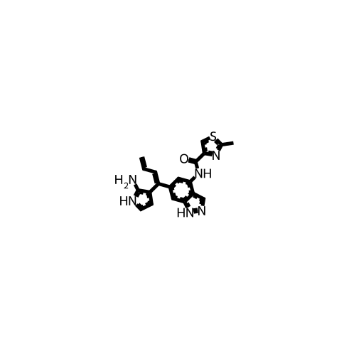 C=C/C=C(/c1cc(NC(=O)c2csc(C)n2)c2cn[nH]c2c1)c1cc[nH]c1N